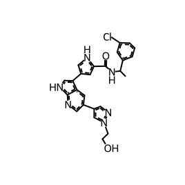 CC(NC(=O)c1cc(-c2c[nH]c3ncc(-c4cnn(CCO)c4)cc23)c[nH]1)c1cccc(Cl)c1